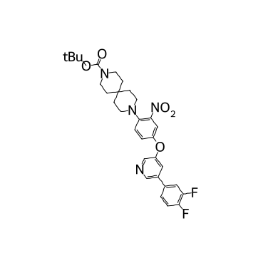 CC(C)(C)OC(=O)N1CCC2(CC1)CCN(c1ccc(Oc3cncc(-c4ccc(F)c(F)c4)c3)cc1[N+](=O)[O-])CC2